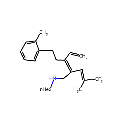 C=C/C(CCc1ccccc1C)=C(\C=C(/C)C(F)(F)F)CNCCCCCC